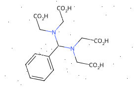 O=C(O)CN(CC(=O)O)C(c1ccccc1)N(CC(=O)O)CC(=O)O